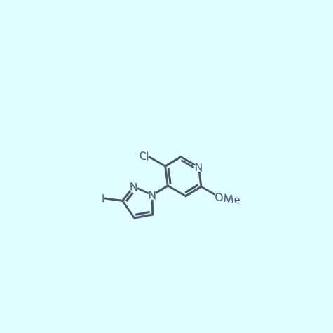 COc1cc(-n2ccc(I)n2)c(Cl)cn1